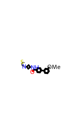 COc1cccc(-c2ccc(C(=O)N[C@H]3C[C@@H](N=C=S)C3)cc2)c1